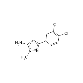 Cn1nc(C2C=CC(Cl)=C(Cl)C2)cc1N